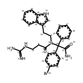 N=C(N)NCCC(=O)N(CCc1c[nH]c2ccccc12)C(C(N)=O)(c1ccccc1)c1ccc(Br)cc1